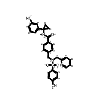 N#Cc1ccc(S(=O)(=O)N(Cc2ccc(C(=O)NC3(c4cccc(C#N)c4)CC3)cc2)Cc2ccccn2)cc1